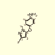 Cc1cc(Oc2ccc(N)cc2)n(C)n1